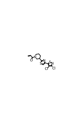 C=CC(=O)N1CCCC(c2nc(-c3snc(Cl)c3Cl)cs2)C1